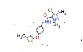 Cc1csc(Oc2ccc(CNC(=O)c3c(Cl)c(C)nn3C)cc2)c1